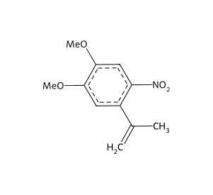 C=C(C)c1cc(OC)c(OC)cc1[N+](=O)[O-]